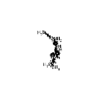 CCCCCCCON=C(N)c1ccc(NCc2nc3cc(C(=O)N(CCC(=O)O[C@@H](C)COC)c4ccccn4)ccc3[nH]2)cc1